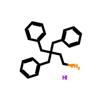 I.PCCC(Cc1ccccc1)(Cc1ccccc1)Cc1ccccc1